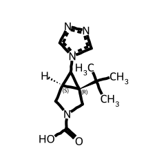 CC(C)(C)[C@@]12CN(C(=O)O)C[C@H]1C2n1cnnc1